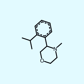 CC(C)c1ccccc1C1COCCN1C